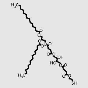 CCCCCCCCCCCCCC(=O)OCC(COC(=O)CCC(=O)OCC(O)C(O)COC(=O)CCC(=O)OCCS)OC(=O)CCCCCCCCCCCCC